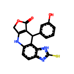 O=C1OCC2=C1C(c1cccc(O)c1)c1c(ccc3nc(S)[nH]c13)N2